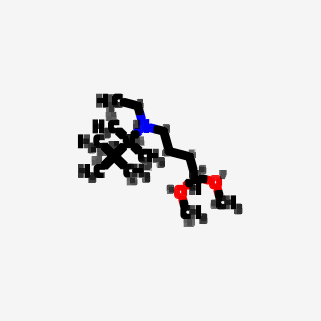 CCN(CCC[SiH](OC)OC)[Si](C)(C)C(C)(C)C